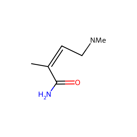 CNCC=C(C)C(N)=O